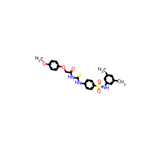 COc1ccc(OCC(=O)NC(=S)Nc2ccc(S(=O)(=O)Nc3cc(C)cc(C)c3)cc2)cc1